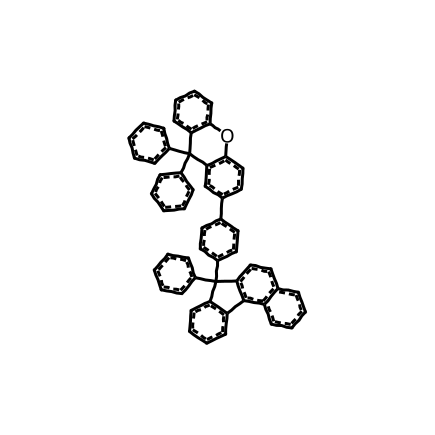 c1ccc(C2(c3ccccc3)c3ccccc3Oc3ccc(-c4ccc(C5(c6ccccc6)c6ccccc6-c6c5ccc5ccccc65)cc4)cc32)cc1